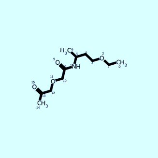 CCOCCC(C)NC(=O)COCC(C)=O